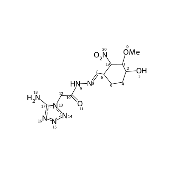 COC1C(O)CCC(/C=N/NC(=O)Cn2nnnc2N)C1[N+](=O)[O-]